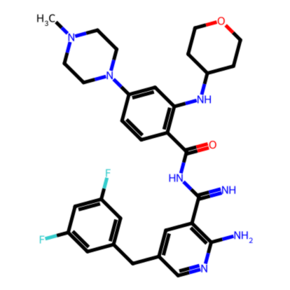 CN1CCN(c2ccc(C(=O)NC(=N)c3cc(Cc4cc(F)cc(F)c4)cnc3N)c(NC3CCOCC3)c2)CC1